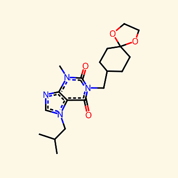 CC(C)Cn1cnc2c1c(=O)n(CC1CCC3(CC1)OCCO3)c(=O)n2C